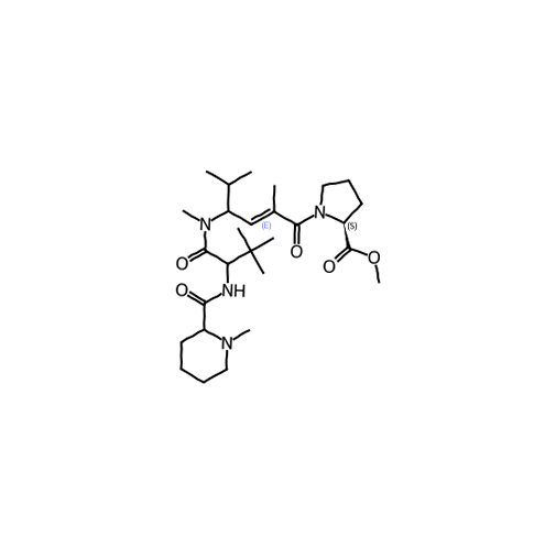 COC(=O)[C@@H]1CCCN1C(=O)/C(C)=C/C(C(C)C)N(C)C(=O)C(NC(=O)C1CCCCN1C)C(C)(C)C